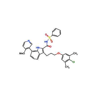 COc1ccncc1-c1cccc2c(CCCOc3cc(C)c(Cl)c(C)c3)c(C(=O)NS(=O)(=O)c3ccccc3)[nH]c12